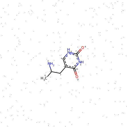 CC(N)Cc1c[nH]c(=O)[nH]c1=O